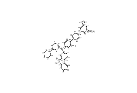 Cc1cc(N(c2cccc(C3CCCCC3)c2)c2ccc3c(c2)C(C)(C)c2ccccc2-3)ccc1-c1ccc(-c2cc(C(C)(C)C)cc(C(C)(C)C)c2)cc1